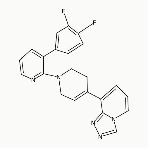 Fc1ccc(-c2cccnc2N2CC=C(c3cccn4cnnc34)CC2)cc1F